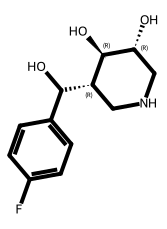 OC(c1ccc(F)cc1)[C@H]1CNC[C@@H](O)[C@@H]1O